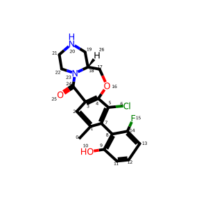 Cc1cc2c(c(Cl)c1-c1c(O)cccc1F)OC[C@H]1CNCCN1C2=O